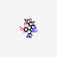 COc1ccc(-c2c(-c3cnn(C)c3)[nH]c3ncc4c(cc(C(=O)N(C)C)c(=O)n4C)c23)cc1